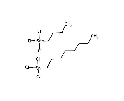 CCCCCCC[CH2][Sn]([Cl])([Cl])[Cl].CCC[CH2][Sn]([Cl])([Cl])[Cl]